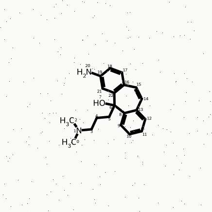 CN(C)CCCC1(O)c2ccccc2C=Cc2ccc(N)cc21